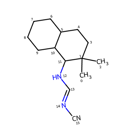 CC1(C)CCC2CCCCC2C1N/C=N/C#N